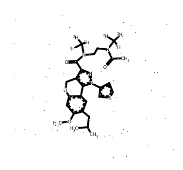 [2H]C([2H])([2H])N(CCN(C(=O)c1nn(-c2ccsc2)c2c1COc1cc(OC)c(CC(C)C)cc1-2)C([2H])([2H])[2H])C(C)=O